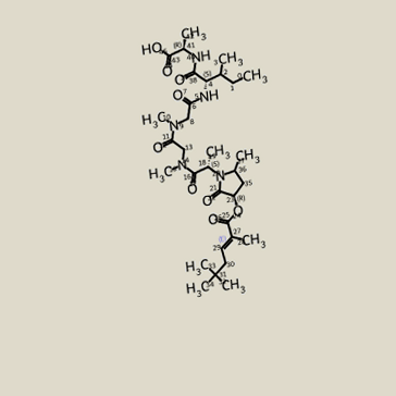 CCC(C)[C@H](NC(=O)CN(C)C(=O)CN(C)C(=O)[C@H](C)N1C(=O)[C@H](OC(=O)/C(C)=C/CC(C)(C)C)CC1C)C(=O)N[C@H](C)C(=O)O